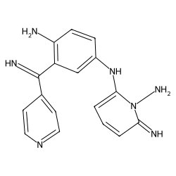 N=C(c1ccncc1)c1cc(Nc2cccc(=N)n2N)ccc1N